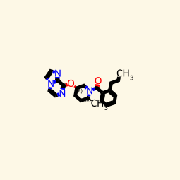 CCCc1ccccc1C(=O)N1C[C@H](Oc2nccn3ccnc23)CC[C@H]1C